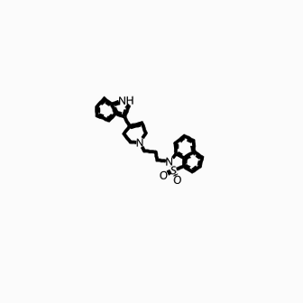 O=S1(=O)c2cccc3cccc(c23)N1CCCN1CC=C(c2c[nH]c3ccccc23)CC1